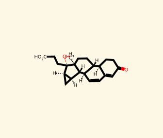 C[C@]12CC[C@H]3[C@@H](C=CC4=CC(=O)CC[C@@H]43)[C@@H]1[C@H]1C[C@H]1[C@@]2(O)CCC(=O)O